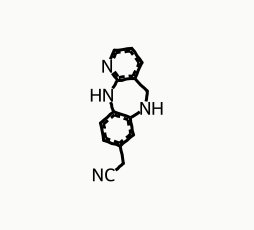 N#CCc1ccc2c(c1)NCc1cccnc1N2